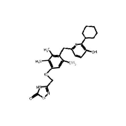 Cc1cc(OCc2noc(=O)[nH]2)c(C)c(C)c1Cc1ccc(O)c(C2CCCCC2)n1